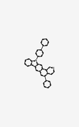 c1ccc(-c2ccc(-n3c4ccccc4c4cc5cc(-c6ccccc6)c6ccncc6c5cc43)cc2)cc1